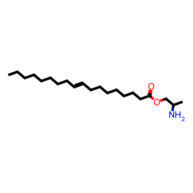 CCCCCCCCC=CCCCCCCCC(=O)OCC(C)N